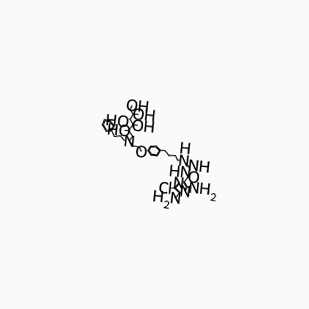 N=C(NCCCCc1ccc(OCCN(CCCc2ccccc2)CC(O)C(O)C(O)C(O)CO)cc1)NC(=O)c1nc(Cl)c(N)nc1N